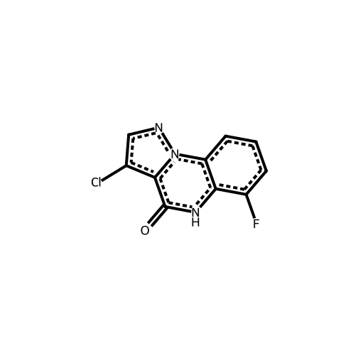 O=c1[nH]c2c(F)cccc2n2ncc(Cl)c12